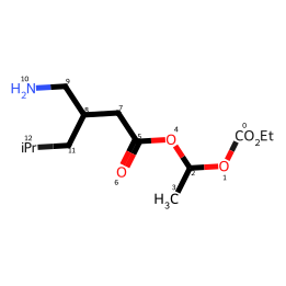 CCOC(=O)OC(C)OC(=O)CC(CN)CC(C)C